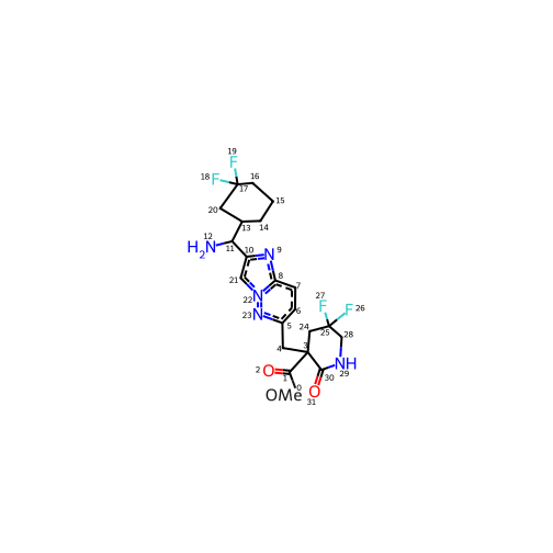 COC(=O)C1(Cc2ccc3nc(C(N)C4CCCC(F)(F)C4)cn3n2)CC(F)(F)CNC1=O